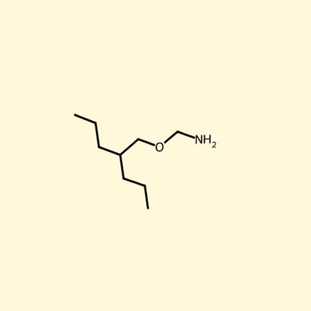 CCCC(CCC)COCN